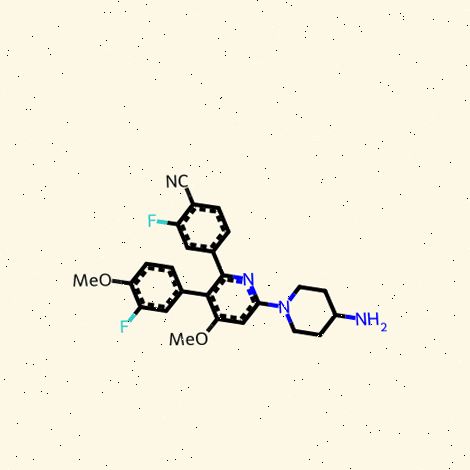 COc1ccc(-c2c(OC)cc(N3CCC(N)CC3)nc2-c2ccc(C#N)c(F)c2)cc1F